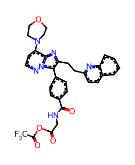 O=C(CNC(=O)c1ccc(-c2c(CCc3ccc4ccccc4n3)nc3c(N4CCOCC4)ccnn23)cc1)OC(=O)C(F)(F)F